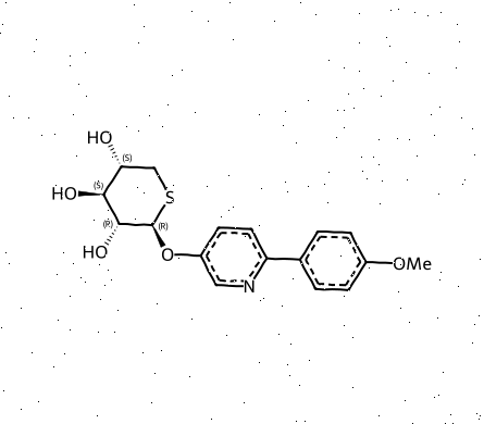 COc1ccc(-c2ccc(O[C@@H]3SC[C@@H](O)[C@H](O)[C@H]3O)cn2)cc1